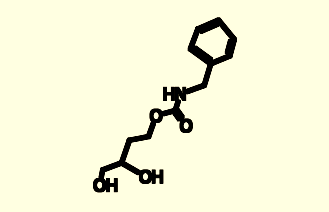 O=C(NCc1ccccc1)OCCC(O)CO